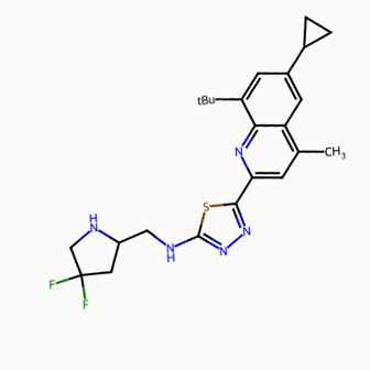 Cc1cc(-c2nnc(NCC3CC(F)(F)CN3)s2)nc2c(C(C)(C)C)cc(C3CC3)cc12